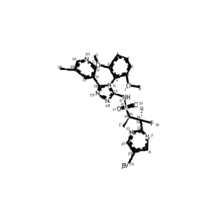 COc1cccc(OC)c1-n1c(NS(=O)(=O)[C@H](C)[C@@](C)(F)c2ncc(Br)cn2)nnc1-c1cncc(C)c1